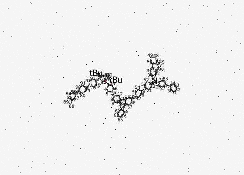 CC(C(c1ccc(-c2ccc3c(c2)c2cc(-c4ccc(-c5ccc(N(c6ccc(-c7ccccc7)cc6)c6ccc7c(c6)C(C)(C)c6ccccc6-7)cc5)cc4)ccc2n3-c2ccccc2)cc1)C(C)(C)C(C)(C)C)C(C)(c1ccc(-c2ccc(-c3ccc4c(c3)CC4)cc2)cc1)C(C)(C)C(C)(C)C